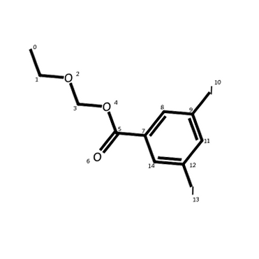 CCOCOC(=O)c1cc(I)cc(I)c1